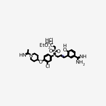 CCOC(=O)CS(=O)(=O)N(C/C=C/c1cc(C(=N)N)ccc1O)c1ccc(OC2CCN(C(C)=N)CC2)c(Cl)c1.Cl.Cl